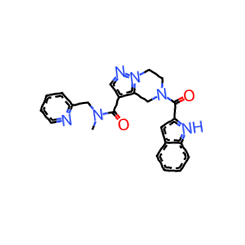 CN(Cc1ccccn1)C(=O)c1cnn2c1CN(C(=O)c1cc3ccccc3[nH]1)CC2